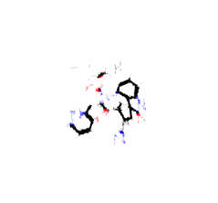 CC(C)(C)OC(=O)N[C@@H](Cc1ccccn1)C(=O)[C@@H]1C[C@]2(C[C@H]1C#N)C(=O)Nc1ccccc12